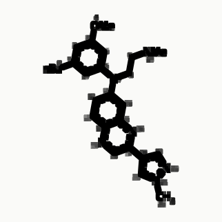 CCCCc1cc(OC)cc(N(CCNC)c2ccc3ncc(-c4cnn(C)c4)nc3c2)c1